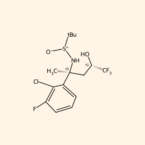 CC(C)(C)[S+]([O-])N[C@@](C)(C[C@H](O)C(F)(F)F)c1cccc(F)c1Cl